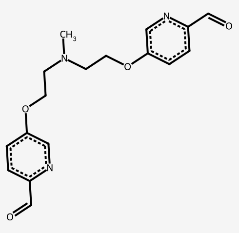 CN(CCOc1ccc(C=O)nc1)CCOc1ccc(C=O)nc1